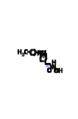 Cc1ccc(Nc2ccc(/C=C/C(=O)NO)cn2)cc1.Cl